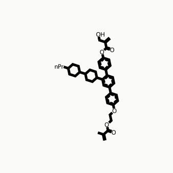 C=C(C)C(=O)OCCOc1ccc(-c2ccc(-c3ccc(OC(=O)C(=C)CO)cc3)c(C3CCC(C4CCC(CCC)CC4)CC3)c2)cc1